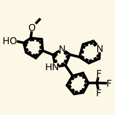 COc1cc(-c2nc(-c3ccncc3)c(-c3cccc(C(F)(F)F)c3)[nH]2)ccc1O